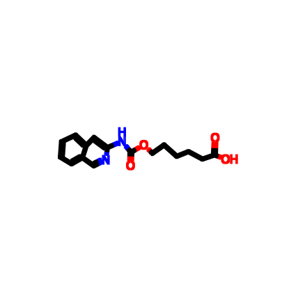 O=C(O)CCCCCOC(=O)Nc1cc2ccccc2cn1